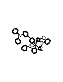 c1ccc(B2c3ccccc3[Si]3(c4ccc(-c5cccc(N(c6ccccc6)c6ccccc6)c5)cc42)c2ccccc2B2c4ccccc4Oc4cccc3c42)cc1